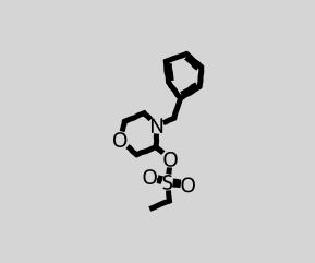 CCS(=O)(=O)OC1COCCN1Cc1ccccc1